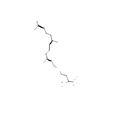 CC(C)=CCCC(C)=CCCC(C)=CCOCCC(P(=O)(O)O)S(=O)(=O)O